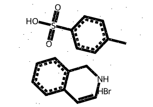 Br.C1=Cc2ccccc2CN1.Cc1ccc(S(=O)(=O)O)cc1